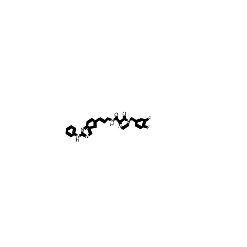 O=C(NCC=Cc1ccc2nc(Nc3ccccc3)ncc2c1)c1nccn(Cc2ccc(F)c(F)c2)c1=O